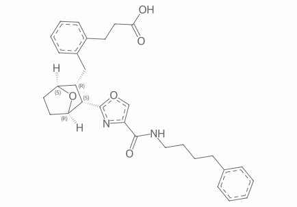 O=C(O)CCc1ccccc1C[C@@H]1[C@H](c2nc(C(=O)NCCCCc3ccccc3)co2)[C@H]2CC[C@@H]1O2